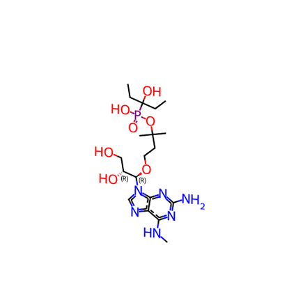 CCC(O)(CC)P(=O)(O)OC(C)(C)CCO[C@H]([C@H](O)CO)n1cnc2c(NC)nc(N)nc21